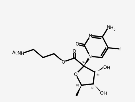 CC(=O)NCCCOC(=O)[C@@]1(n2cc(I)c(N)nc2=O)O[C@H](C)[C@@H](O)[C@H]1O